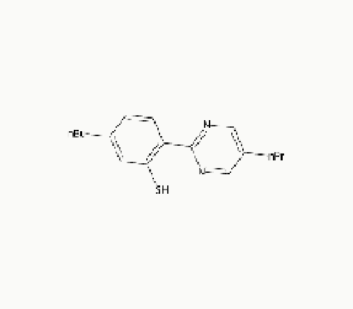 CCCCc1ccc(-c2ncc(CCC)cn2)c(S)c1